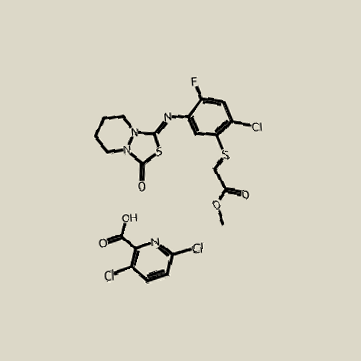 COC(=O)CSc1cc(/N=c2\sc(=O)n3n2CCCC3)c(F)cc1Cl.O=C(O)c1nc(Cl)ccc1Cl